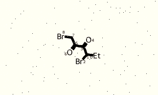 CCC(Br)C(=O)C(=O)CBr